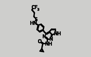 O=C(Nc1nc(-c2ccc(NSCCCC(F)(F)F)cc2)c2cc[nH]c2n1)C1CC1